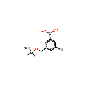 CCc1cc(CO[Si](C)(C)C(C)(C)C)cc(B(O)O)c1